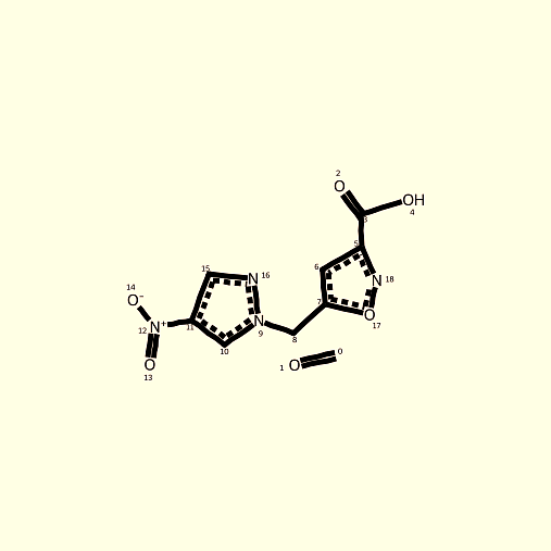 C=O.O=C(O)c1cc(Cn2cc([N+](=O)[O-])cn2)on1